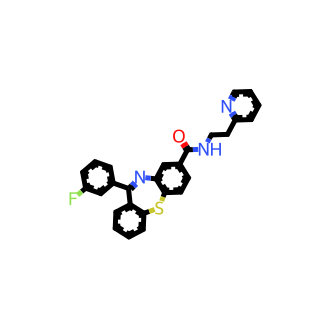 O=C(NCCc1ccccn1)c1ccc2c(c1)N=C(c1cccc(F)c1)c1ccccc1S2